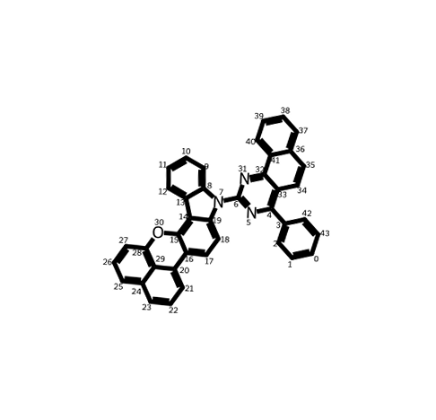 c1ccc(-c2nc(-n3c4ccccc4c4c5c(ccc43)-c3cccc4cccc(c34)O5)nc3c2ccc2ccccc23)cc1